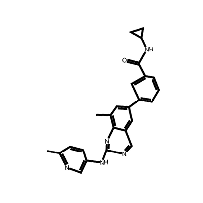 Cc1ccc(Nc2ncc3cc(-c4cccc(C(=O)NC5CC5)c4)cc(C)c3n2)cn1